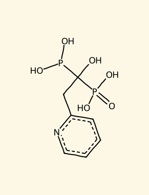 O=P(O)(O)C(O)(Cc1ccccn1)P(O)O